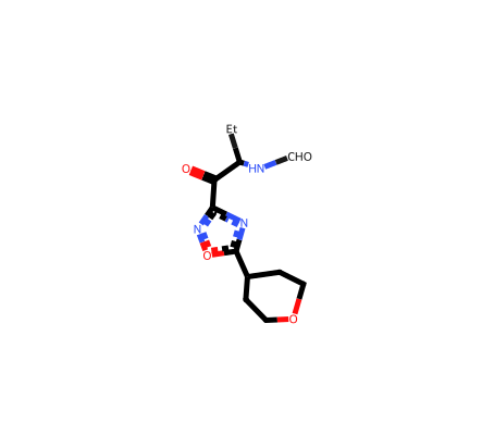 CCC(NC=O)C(=O)c1noc(C2CCOCC2)n1